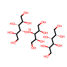 OC[C@@H](O)[C@@H](O)[C@H](O)[C@H](O)CO.OC[C@@H](O)[C@H](O)[C@@H](O)CO.OC[C@@H](O)[C@H](O)[C@H](O)[C@@H](O)CO